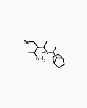 CCC(C)CC(C(C)N)C(C)N[C@@H](C)C1C2CCC1CC2